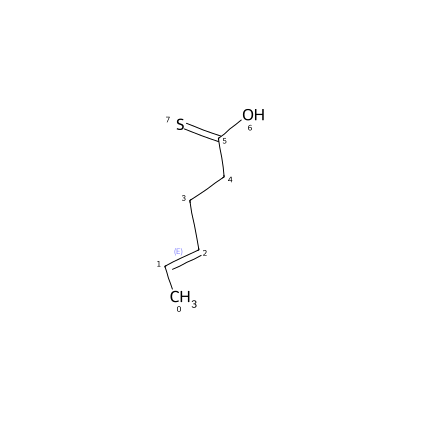 C/C=C/CCC(O)=S